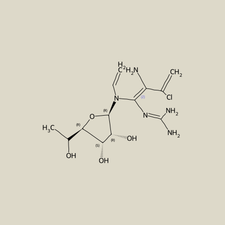 C=CN(/C(N=C(N)N)=C(\N)C(=C)Cl)[C@@H]1O[C@H](C(C)O)[C@@H](O)[C@H]1O